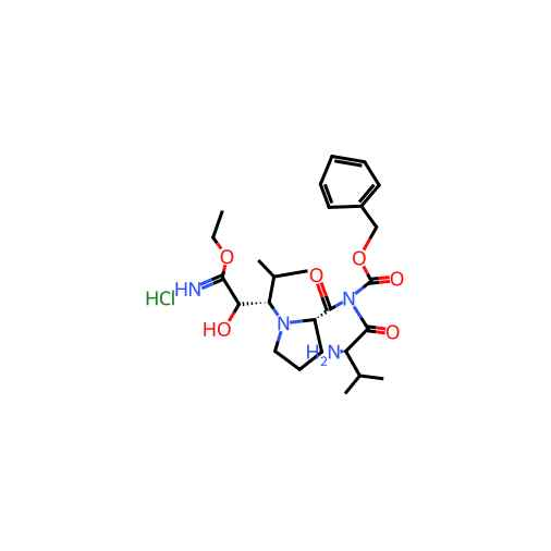 CCOC(=N)C(O)[C@H](C(C)C)N1CCC[C@H]1C(=O)N(C(=O)OCc1ccccc1)C(=O)[C@@H](N)C(C)C.Cl